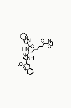 COc1nc2ccccc2cc1-c1cnc([C@H](CCCCCC(=O)c2ncco2)NC(=O)c2cc3n(n2)CCCC3)[nH]1